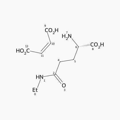 CCNC(=O)CC[C@H](N)C(=O)O.O=C(O)/C=C\C(=O)O